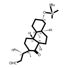 CCC[C@@H](CC=O)[C@@]1(C)CC[C@H]2[C@@H](CC[C@@H]3C[C@@H](O[Si](C)(C)C(C)(C)C)CC[C@@]32C)C1=O